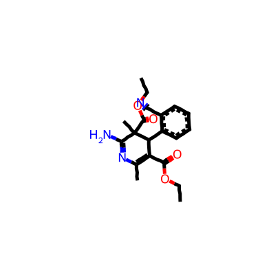 CCOC(=O)C1=C(C)N=C(N)C(C)(C(=O)OCC)C1c1ccccc1C#N